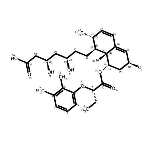 CC[C@H](Oc1cccc(C)c1C)C(=O)O[C@H]1C[C@H](O)C=C2C=C[C@@H](C)[C@H](CC[C@@H](O)C[C@@H](O)CC(=O)O)[C@H]21